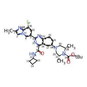 Cc1cn2cc(-c3nc(C(=O)NC4CCC4)c4cc(N5C[C@@H](C)N(C(=O)OC(C)(C)C)[C@@H](C)C5)ccc4n3)cc(F)c2n1